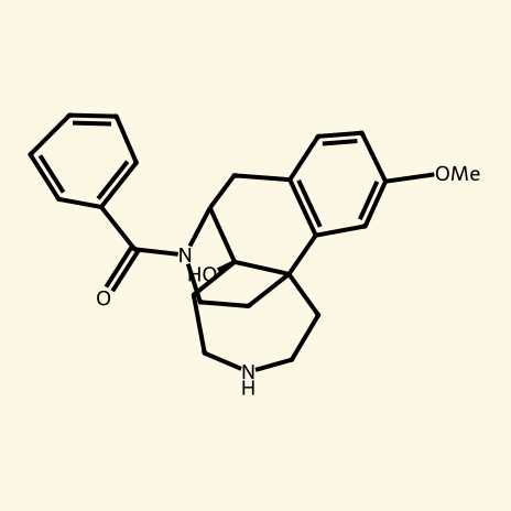 COc1ccc2c(c1)C13CCNCCC1(O)C(C2)N(C(=O)c1ccccc1)CC3